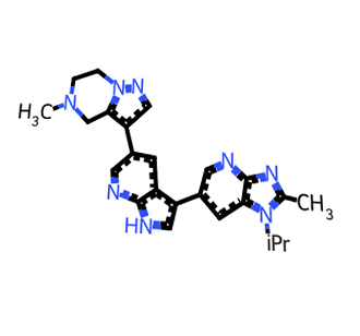 Cc1nc2ncc(-c3c[nH]c4ncc(-c5cnn6c5CN(C)CC6)cc34)cc2n1C(C)C